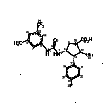 Cc1cc(NC(=O)N[C@@H]2CN(C(=O)O)C(C(C)(C)C)[C@@H]2c2ccc(F)cc2)cc(C(F)(F)F)c1